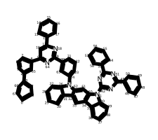 c1ccc(-c2cccc(-c3cc(-c4ccccc4)nc(-c4cccc(-n5c6ccccc6c6cc7c8ccccc8n(-c8nc(-c9ccccc9)nc(-c9ccccc9)n8)c7cc65)c4)n3)c2)cc1